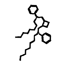 CCCCCCCCP(CC1CCC1CP(CCCCCCCC)c1ccccc1)c1ccccc1